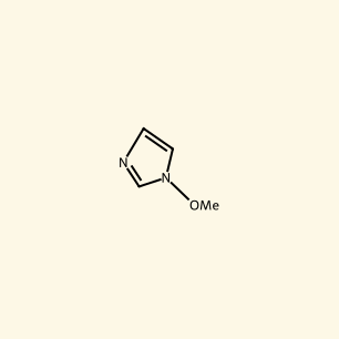 [CH2]On1ccnc1